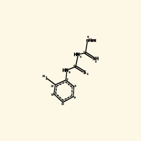 CCCCCCC(=N)NC(=S)Nc1ccccc1I